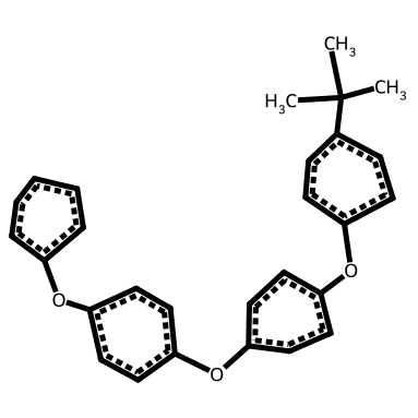 CC(C)(C)c1ccc(Oc2ccc(Oc3ccc(Oc4ccccc4)cc3)cc2)cc1